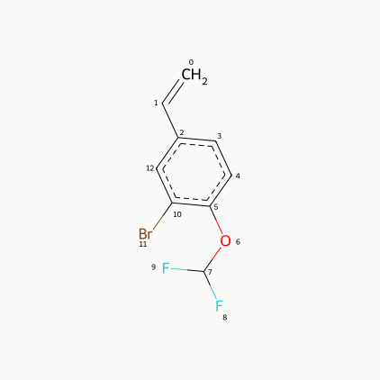 C=Cc1ccc(OC(F)F)c(Br)c1